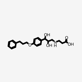 O=C(O)CCNCC(O)C(O)c1ccc(OCCCc2ccccc2)cc1